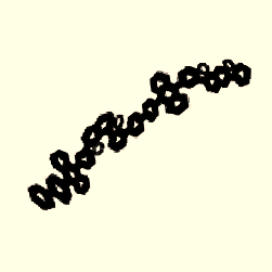 C1=CCCC(c2ccc(-c3c4ccccc4c(-c4ccc5oc6c(ccc7ccc8oc9c(-c%10ccc(C%11=CC=C(c%12c%13ccccc%13c(-c%13ccc%14oc%15c%16cc%17oc%18ccccc%18c%17cc%16ccc%15c%14c%13)c%13ccccc%12%13)CC%11)cc%10)cccc9c8c76)c5c4)c4ccccc34)cc2)=C1